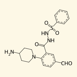 NC1CCN(c2ccc(C=O)cc2C(=O)NNS(=O)(=O)c2ccccc2)CC1